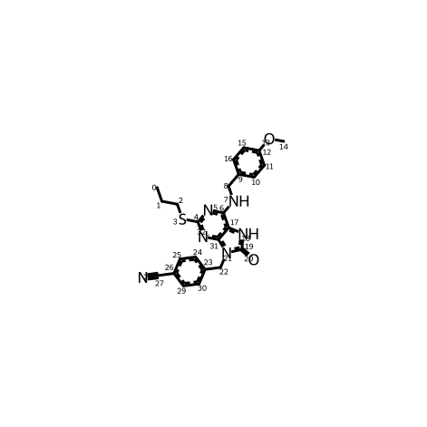 CCCSc1nc(NCc2ccc(OC)cc2)c2[nH]c(=O)n(Cc3ccc(C#N)cc3)c2n1